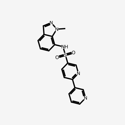 Cn1ncc2cccc(NS(=O)(=O)c3ccc(-c4cccnc4)nc3)c21